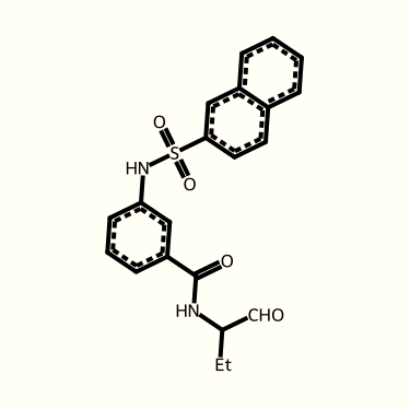 CCC(C=O)NC(=O)c1cccc(NS(=O)(=O)c2ccc3ccccc3c2)c1